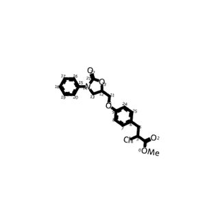 COC(=O)C(Cl)Cc1ccc(OCC2CN(c3ccccc3)C(=O)O2)cc1